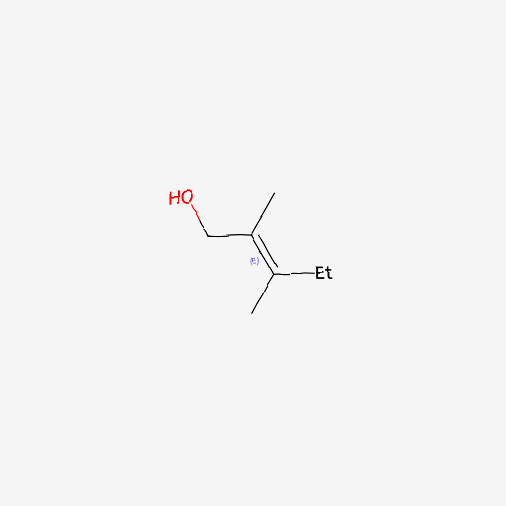 CC/C(C)=C(\C)CO